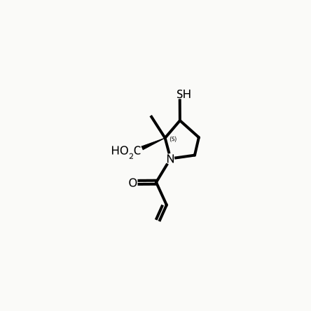 C=CC(=O)N1CCC(S)[C@]1(C)C(=O)O